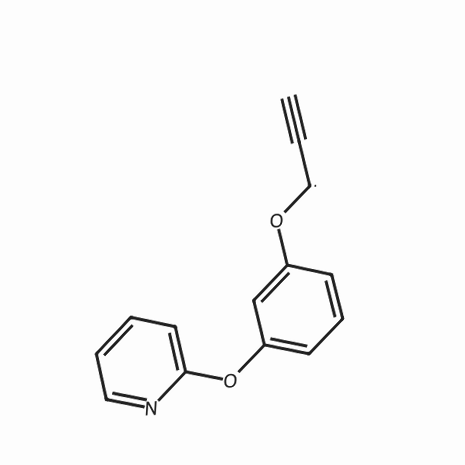 C#C[CH]Oc1cccc(Oc2ccccn2)c1